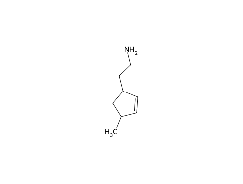 CC1C=CC(CCN)C1